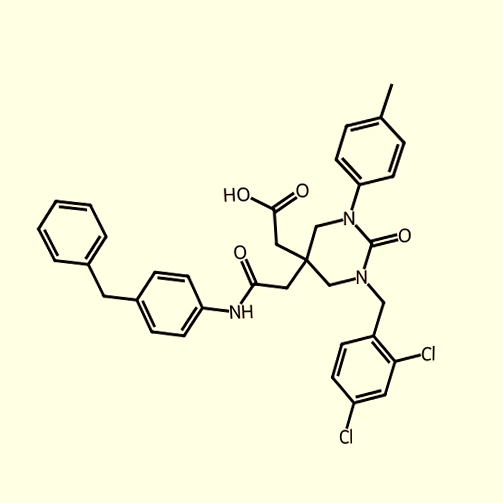 Cc1ccc(N2CC(CC(=O)O)(CC(=O)Nc3ccc(Cc4ccccc4)cc3)CN(Cc3ccc(Cl)cc3Cl)C2=O)cc1